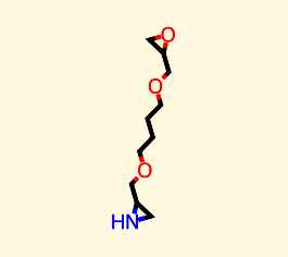 C(CCOCC1CO1)COCC1CN1